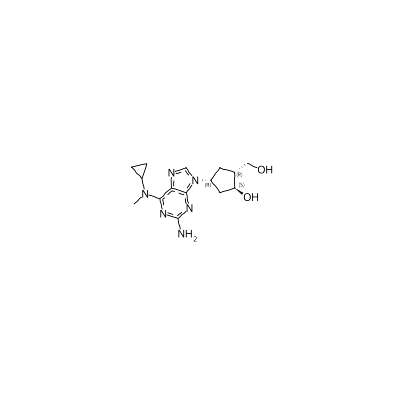 CN(c1nc(N)nc2c1ncn2[C@@H]1C[C@H](CO)[C@@H](O)C1)C1CC1